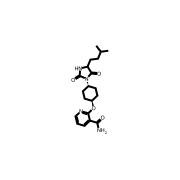 CC(C)CCC1NC(=O)N([C@H]2CC[C@H](Oc3ncccc3C(N)=O)CC2)C1=O